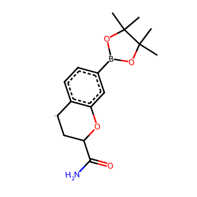 CC1(C)OB(c2ccc3c(c2)OC(C(N)=O)C[CH]3)OC1(C)C